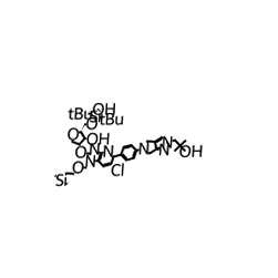 CC(C)(O)Cn1cc2c(n1)CN(c1ccc(-c3nc4nc(O[C@@H]5CO[C@H](CO[Si](O)(C(C)(C)C)C(C)(C)C)[C@H]5O)n(COCC[Si](C)(C)C)c4cc3Cl)cc1)C2